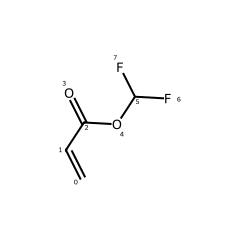 C=CC(=O)OC(F)F